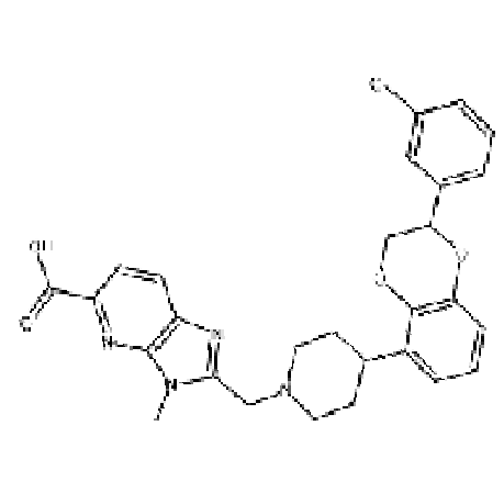 Cn1c(CN2CCC(c3cccc4c3OCC(c3cccc(Cl)c3)O4)CC2)nc2ccc(C(=O)O)nc21